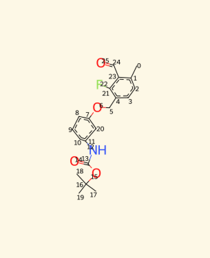 Cc1ccc(COc2cccc(NC(=O)OC(C)(C)C)c2)c(F)c1C=O